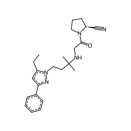 CCc1cc(-c2ccccc2)nn1CCC(C)(C)NCC(=O)N1CCC[C@H]1C#N